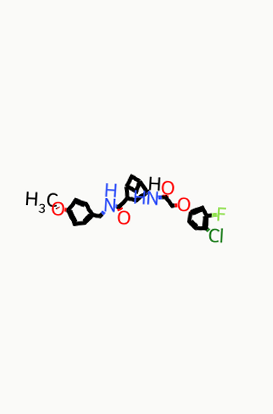 COc1ccc(CNC(=O)C2C[C@H](NC(=O)COc3ccc(Cl)c(F)c3)C3CC2C3)cc1